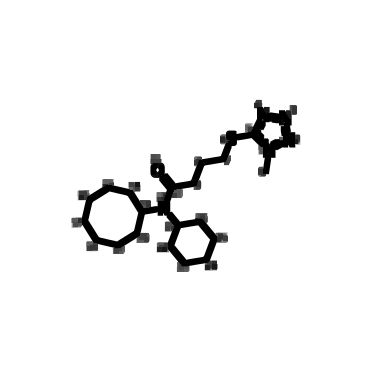 Cn1nnnc1SCCCC(=O)N(C1CCCCCCC1)C1CCCCC1